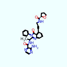 CC(NC(=O)c1nccnc1N)c1nc2cccc(C#CCNC(=O)[C@H]3CCCO3)c2c(=O)n1-c1ccccc1